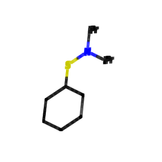 CC(C)N(SC1CCCCC1)C(C)C